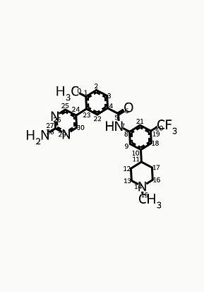 Cc1ccc(C(=O)Nc2cc(C3CCN(C)CC3)cc(C(F)(F)F)c2)cc1-c1cnc(N)nc1